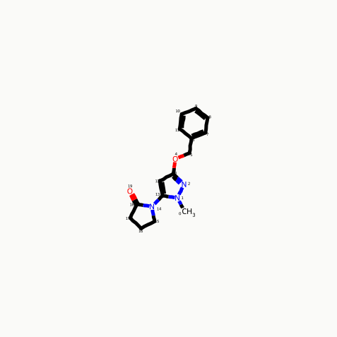 Cn1nc(OCc2ccccc2)cc1N1CCCC1=O